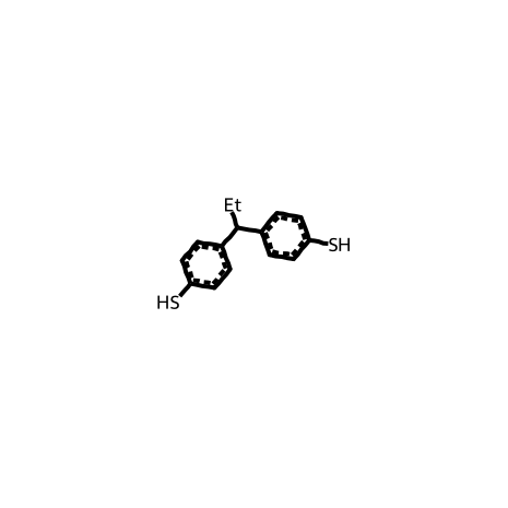 CCC(c1ccc(S)cc1)c1ccc(S)cc1